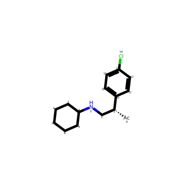 CC(=O)[C@H](CNC1CCCCC1)c1ccc(Cl)cc1